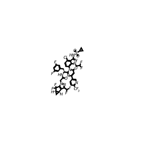 O=C(Cn1nc(C(F)F)c2c1C(F)(F)[C@@H]1C[C@H]21)N[C@@H](Cc1cc(F)cc(F)c1)c1nc(-c2ccc(C(F)(F)F)nc2)cc(=O)n1-c1ccc(Cl)c2c(NS(=O)(=O)C3CC3)nn(CC(F)F)c12